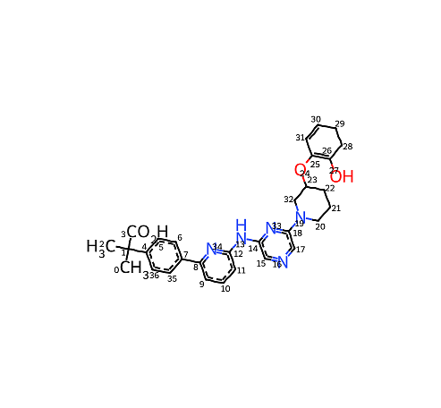 CC(C)(C(=O)O)c1ccc(-c2cccc(Nc3cncc(N4CCCC(OC5=C(O)CCC=C5)C4)n3)n2)cc1